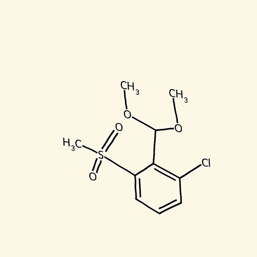 COC(OC)c1c(Cl)cccc1S(C)(=O)=O